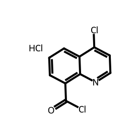 Cl.O=C(Cl)c1cccc2c(Cl)ccnc12